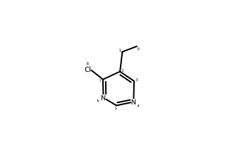 C[CH]c1cncnc1Cl